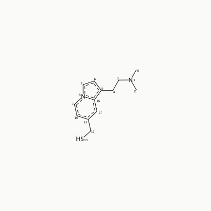 CN(C)CCc1ccn2ccc(CS)cc12